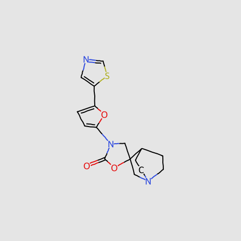 O=C1OC2(CN3CCC2CC3)CN1c1ccc(-c2cncs2)o1